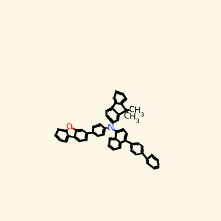 CC1(C)c2ccccc2-c2ccc(N(c3ccc(-c4ccc5c(c4)oc4ccccc45)cc3)c3ccc(-c4ccc(-c5ccccc5)cc4)c4ccccc34)cc21